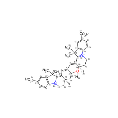 CC1(C)C2=C3C=C4C=C5C6=[N+](CC[C@H]5O[C@H]4C[C@H]3CCN2c2ccc(S(=O)(=O)O)cc21)c1ccc(C(=O)O)cc1C6(C)C